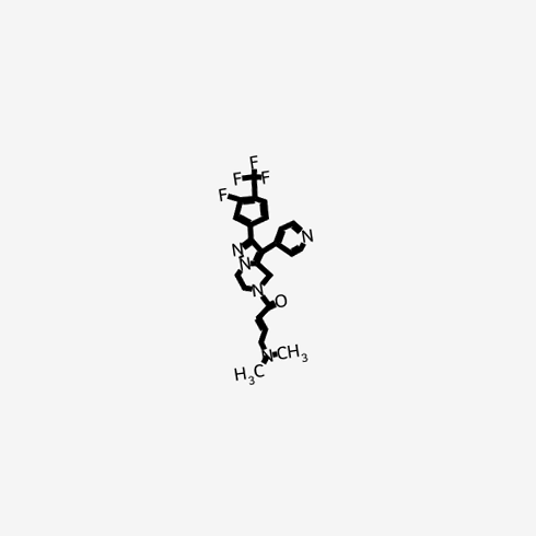 CN(C)C/C=C/C(=O)N1CCn2nc(-c3ccc(C(F)(F)F)c(F)c3)c(-c3ccncc3)c2C1